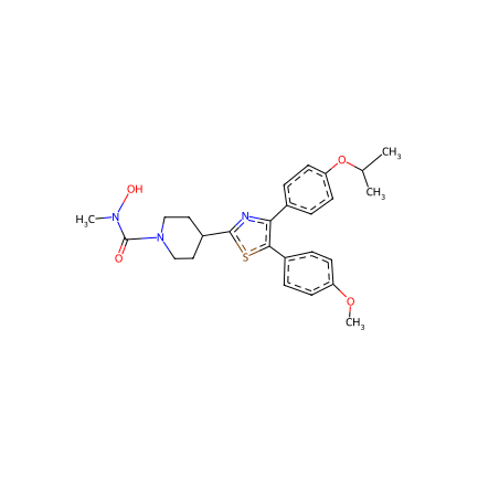 COc1ccc(-c2sc(C3CCN(C(=O)N(C)O)CC3)nc2-c2ccc(OC(C)C)cc2)cc1